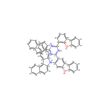 c1ccc2cc(-c3nc(-c4cc5c(cc4-n4c6cc7ccccc7cc6c6c7ccccc7ccc64)oc4ccccc45)nc(-c4cccc5c4oc4ccccc45)n3)ccc2c1